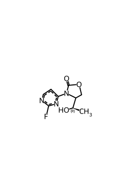 C[C@@H](O)C1COC(=O)N1c1ccnc(F)n1